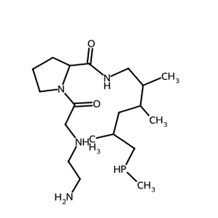 CPCC(C)CC(C)C(C)CNC(=O)C1CCCN1C(=O)CNCCN